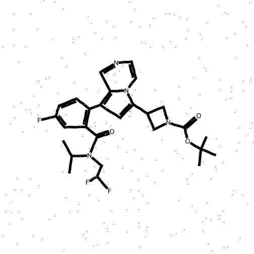 CC(C)N(CC(F)F)C(=O)c1cc(F)ccc1-c1cc(C2CN(C(=O)OC(C)(C)C)C2)n2ccncc12